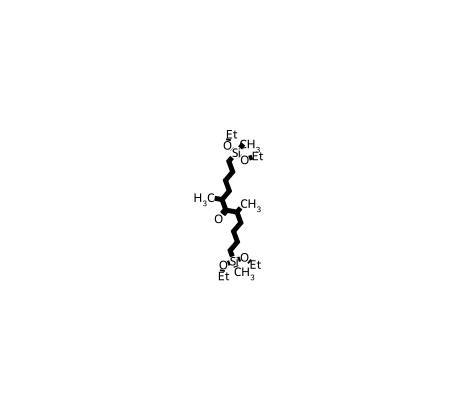 CCO[Si](C)(CCCCC(C)C(=O)C(C)CCCC[Si](C)(OCC)OCC)OCC